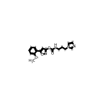 COc1ccccc1-c1cc(OC(=O)NCCCn2ccnc2)no1